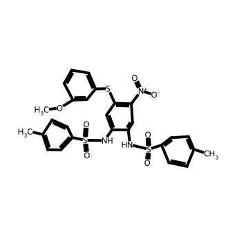 COc1cccc(Sc2cc(NS(=O)(=O)c3ccc(C)cc3)c(NS(=O)(=O)c3ccc(C)cc3)cc2[N+](=O)[O-])c1